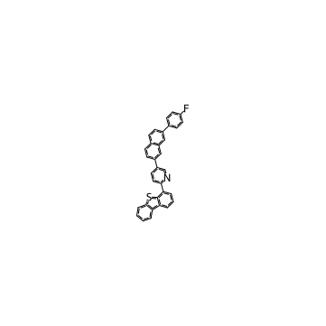 Fc1ccc(-c2ccc3ccc(-c4ccc(-c5cccc6c5sc5ccccc56)nc4)cc3c2)cc1